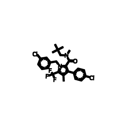 Cc1c(-c2ccc(Cl)cc2)c(C(=O)N(C)CC(C)(C)C)n(Cc2cccc(Cl)c2)c1C(F)(F)F